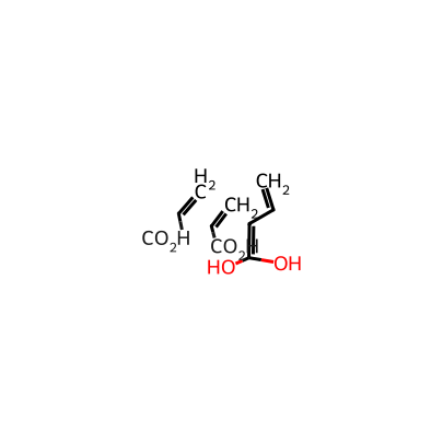 C=CC(=O)O.C=CC(=O)O.C=CC=C(O)O